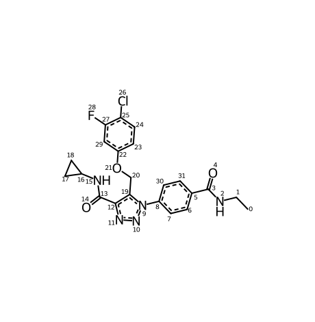 CCNC(=O)c1ccc(-n2nnc(C(=O)NC3CC3)c2COc2ccc(Cl)c(F)c2)cc1